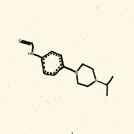 CC(C)N1CCN(c2ccc(NC=S)cc2)CC1